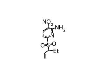 C=CC(CC)S(=O)(=O)c1ccc([N+](=O)[O-])c(N)n1